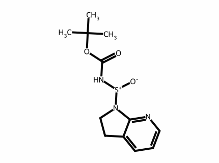 CC(C)(C)OC(=O)N[S+]([O-])N1CCc2cccnc21